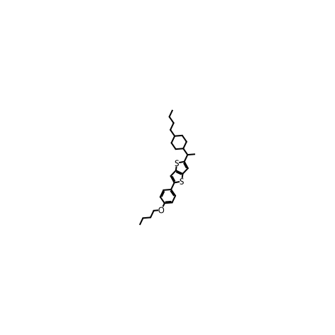 CCCCOc1ccc(-c2cc3sc(C(C)C4CCC(CCCC)CC4)cc3s2)cc1